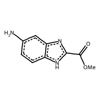 COC(=O)c1nc2cc(N)ccc2[nH]1